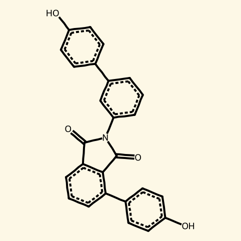 O=C1c2cccc(-c3ccc(O)cc3)c2C(=O)N1c1cccc(-c2ccc(O)cc2)c1